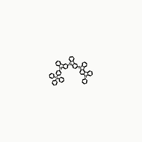 c1ccc(-n2c3ccccc3c3c4c5ccccc5n(-c5ccc6c(c5)c5ccccc5n6-c5ccc6c(c5)c5ccccc5n6-c5ccc([Si](c6ccccc6)(c6ccccc6)c6ccccc6)cc5)c4ccc32)cc1